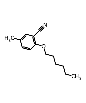 CCCCCCOc1ccc(C)cc1C#N